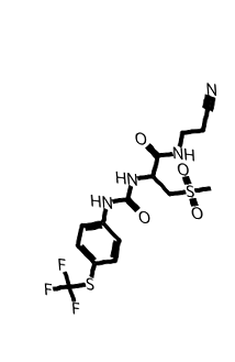 CS(=O)(=O)CC(NC(=O)Nc1ccc(SC(F)(F)F)cc1)C(=O)NCCC#N